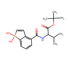 CC(C)C(NC(=O)c1cccc2c1C=CS2(O)O)C(=O)OC(C)(C)C